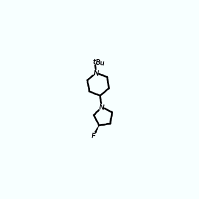 CC(C)(C)N1CCC(N2CC[C@@H](F)C2)CC1